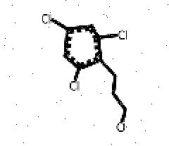 [O]CCCc1c(Cl)cc(Cl)cc1Cl